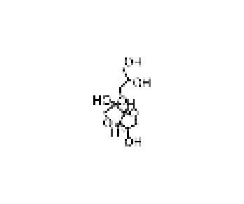 OCC(O)CO[C@@]1(O)CO[C@@H]2[C@H](O)CO[C@@H]21